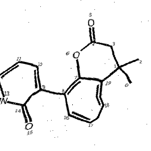 CC1(C)CC(=O)Oc2c(-c3ccc[nH]c3=O)cccc21